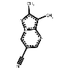 Cc1nn2cc(C#N)cnc2c1C